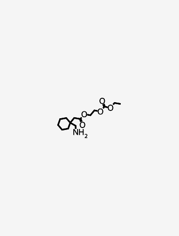 CCOC(=O)OCCOC(=O)CC1(CN)CCCCC1